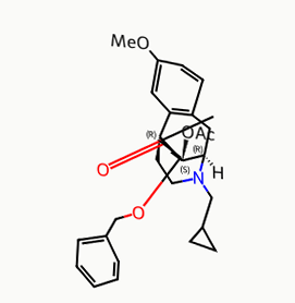 COc1ccc2c(c1)[C@]13CCN(CC4CC4)[C@H](C2)[C@]1(OC(C)=O)CC(OCc1ccccc1)C(=O)C3